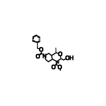 COC(=O)[C@@H]1C(CO)OC(C)C2CN(C(=O)OCc3ccccc3)CCC21